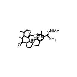 CN/N=C(\N)c1cc2c(nc1C)N[C@@]1(CC2)CCN(C(=O)[C@@H](C)C2C=C(OC)N=CC2C)C1